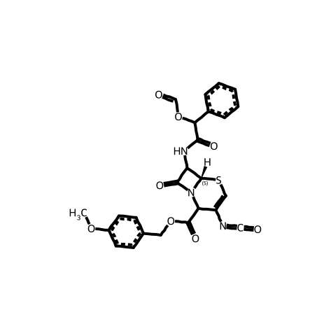 COc1ccc(COC(=O)C2C(N=C=O)=CS[C@H]3C(NC(=O)C(OC=O)c4ccccc4)C(=O)N23)cc1